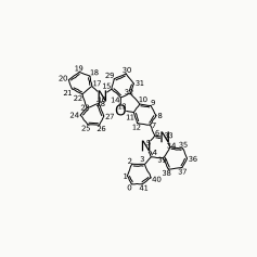 c1ccc(-c2nc(-c3ccc4c(c3)oc3c(-n5c6ccccc6c6ccccc65)cccc34)nc3ccccc23)cc1